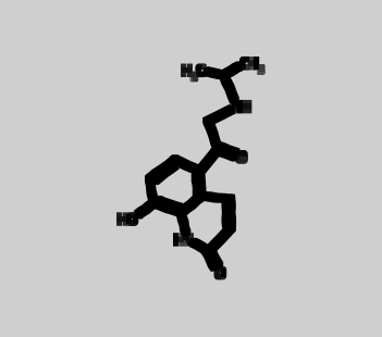 CC(C)NCC(=O)c1ccc(O)c2[nH]c(=O)ccc12